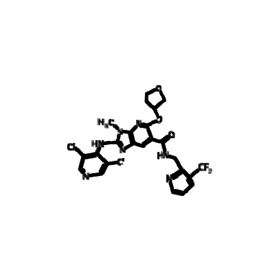 Cn1c(Nc2c(Cl)cncc2Cl)nc2cc(C(=O)NCc3ncccc3C(F)(F)F)c(OC3CCOC3)nc21